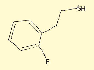 Fc1ccccc1CCS